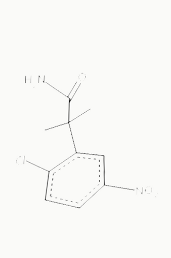 CC(C)(C(N)=O)c1cc([N+](=O)[O-])ccc1Cl